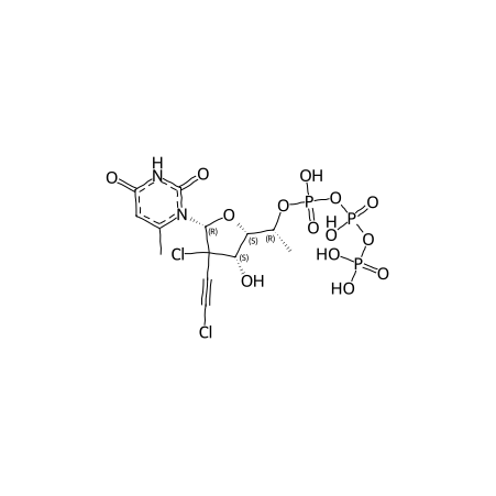 Cc1cc(=O)[nH]c(=O)n1[C@@H]1O[C@H]([C@@H](C)OP(=O)(O)OP(=O)(O)OP(=O)(O)O)[C@H](O)C1(Cl)C#CCl